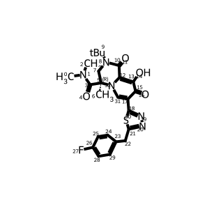 CN(C)C(=O)[C@@]1(C)CN(C(C)(C)C)C(=O)c2c(O)c(=O)c(-c3nnc(Cc4ccc(F)cc4)s3)cn21